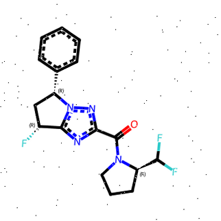 O=C(c1nc2n(n1)[C@@H](c1ccccc1)C[C@H]2F)N1CCC[C@@H]1C(F)F